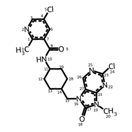 Cc1ncc(Cl)cc1C(=O)NC1CCC(Cn2c(=O)n(C)c3nc(Cl)ncc32)CC1